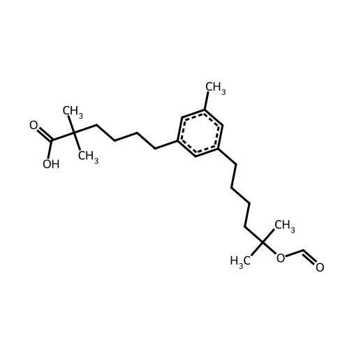 Cc1cc(CCCCC(C)(C)OC=O)cc(CCCCC(C)(C)C(=O)O)c1